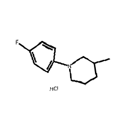 CC1CCCN(c2ccc(F)cc2)C1.Cl